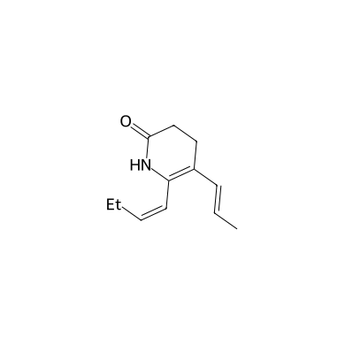 C/C=C/C1=C(/C=C\CC)NC(=O)CC1